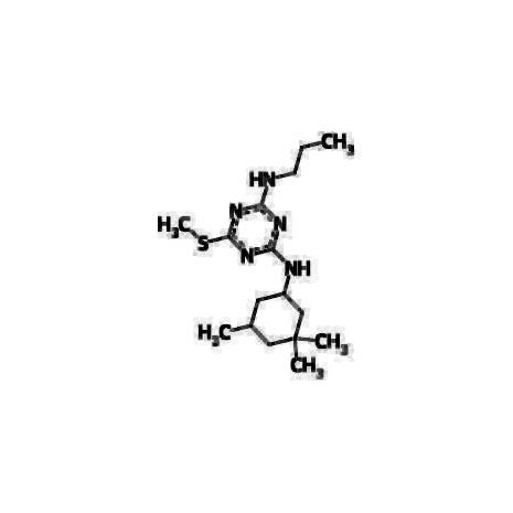 CCCNc1nc(NC2CC(C)CC(C)(C)C2)nc(SC)n1